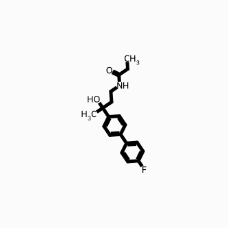 CCC(=O)NCCC(C)(O)c1ccc(-c2ccc(F)cc2)cc1